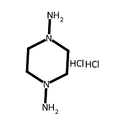 Cl.Cl.NN1CCN(N)CC1